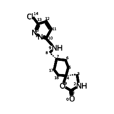 O=C1NC[C@]2(CC[C@@H](CNc3ccc(Cl)nn3)CC2)O1